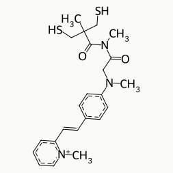 CN(C(=O)CN(C)c1ccc(/C=C/c2cccc[n+]2C)cc1)C(=O)C(C)(CS)CS